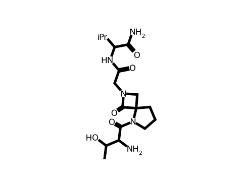 CC(C)C(NC(=O)CN1CC2(CCCN2C(=O)C(N)C(C)O)C1=O)C(N)=O